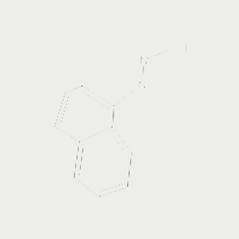 ONNc1cccc2ccccc12